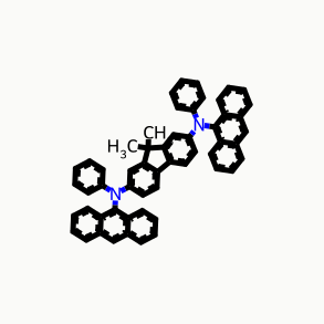 CC1(C)c2cc(N(c3ccccc3)c3c4ccccc4cc4ccccc34)ccc2-c2ccc(N(c3ccccc3)c3c4ccccc4cc4ccccc34)cc21